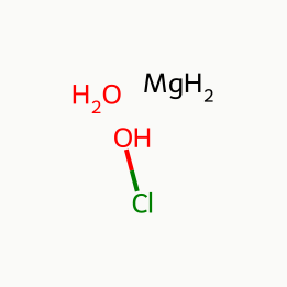 O.OCl.[MgH2]